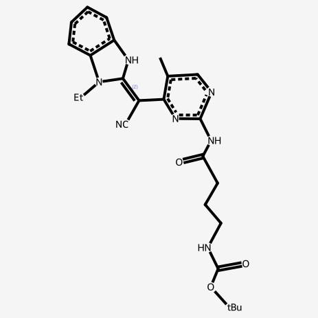 CCN1/C(=C(\C#N)c2nc(NC(=O)CCCNC(=O)OC(C)(C)C)ncc2C)Nc2ccccc21